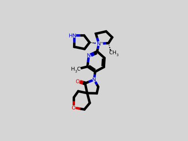 Cc1nc([N+]2([C@@H]3CCNC3)CCC[C@@H]2C)ccc1N1CCC2(CCOCC2)C1=O